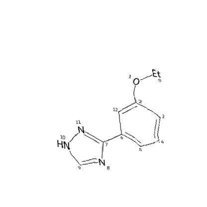 CCOc1c[c]cc(-c2nc[nH]n2)c1